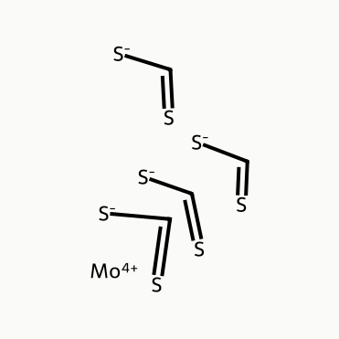 S=C[S-].S=C[S-].S=C[S-].S=C[S-].[Mo+4]